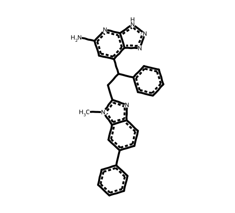 Cn1c(CC(c2ccccc2)c2cc(N)nc3[nH]nnc23)nc2ccc(-c3ccccc3)cc21